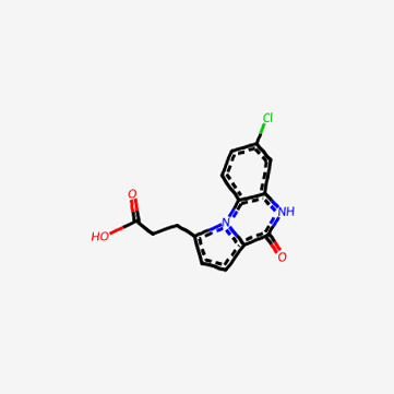 O=C(O)CCc1ccc2c(=O)[nH]c3cc(Cl)ccc3n12